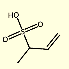 C=CC(C)S(=O)(=O)O